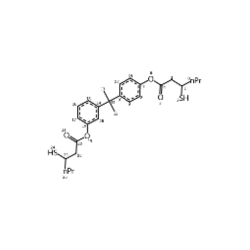 CCCC(S)CC(=O)Oc1ccc(C(C)(C)c2cccc(OC(=O)CC(S)CCC)c2)cc1